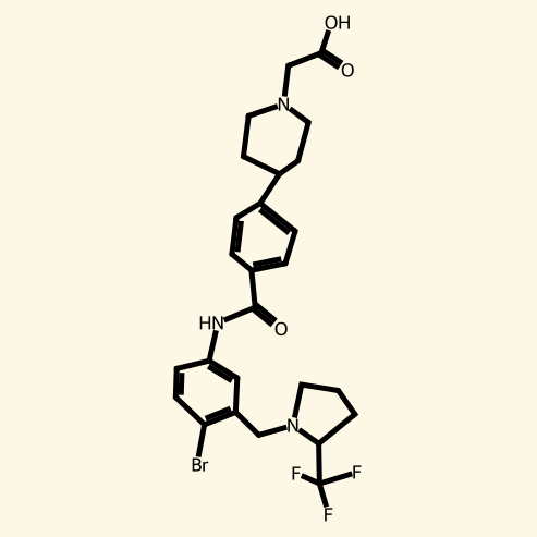 O=C(O)CN1CCC(c2ccc(C(=O)Nc3ccc(Br)c(CN4CCCC4C(F)(F)F)c3)cc2)CC1